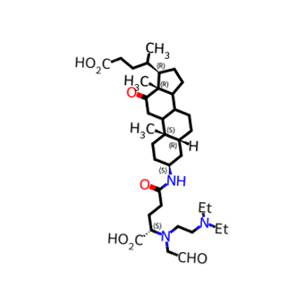 CCN(CC)CCN(CC=O)[C@@H](CCC(=O)N[C@H]1CC[C@]2(C)C3CC(=O)[C@@]4(C)C(CC[C@@H]4C(C)CCC(=O)O)C3CC[C@@H]2C1)C(=O)O